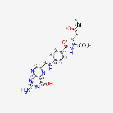 CBC(=O)CCC(NC(=O)c1ccc(NCc2cnc3nc(N)nc(O)c3n2)cc1)C(=O)O